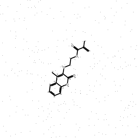 C=C(C)C(=O)OCCOc1c(C)c2ccccc2oc1=O